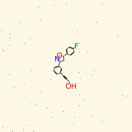 OCC#Cc1cccc(C2=NOC(c3ccc(F)cc3)C2)c1